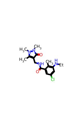 CCNc1cc(Cl)cc(C(=O)NCc2c(C)n(C)n(C)c2=O)c1C